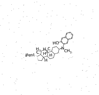 CCC[C@@H](C)[C@H]1CC[C@H]2[C@@H]3CCC4C[C@H](N(C)c5cc6ccccc6cc5O)CC[C@]4(C)[C@H]3CC[C@]12C